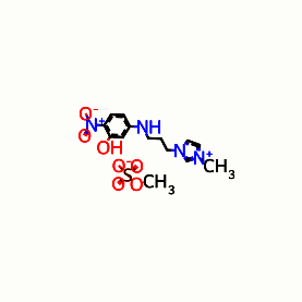 COS(=O)(=O)[O-].C[n+]1ccn(CCCNc2ccc([N+](=O)[O-])c(O)c2)c1